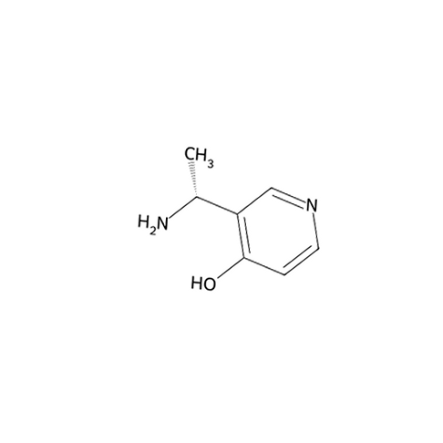 C[C@@H](N)c1cnccc1O